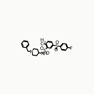 Cc1ccc(S(=O)(=O)c2ccc(F)cc2)cc1S(=O)(=O)NC1CCN(Cc2ccccc2)CC1